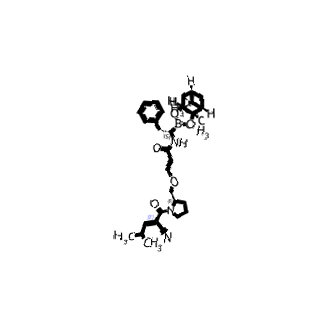 CC(C)/C=C(\C#N)C(=O)N1CCC[C@@H]1COCCC(=O)N[C@H](Cc1ccccc1)B1O[C@@H]2C[C@@H]3C[C@@H](C3(C)C)[C@]2(C)O1